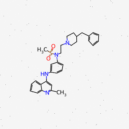 Cc1cc(Nc2cccc(N(CCN3CCC(Cc4ccccc4)CC3)S(C)(=O)=O)c2)c2ccccc2n1